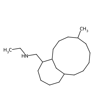 CCNCC1CCCCC2CCCCCC(C)CCCC1C2